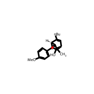 CCCCC1=CC2CC(c3ccc(OC)cc3)[C@@H]1C(=O)C2(C)O